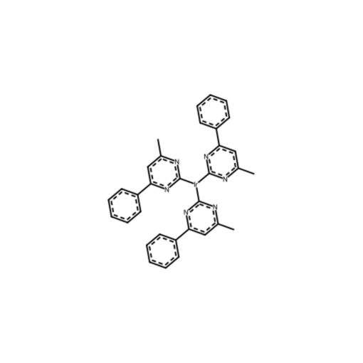 Cc1cc(-c2ccccc2)n[c]([Ir]([c]2nc(C)cc(-c3ccccc3)n2)[c]2nc(C)cc(-c3ccccc3)n2)n1